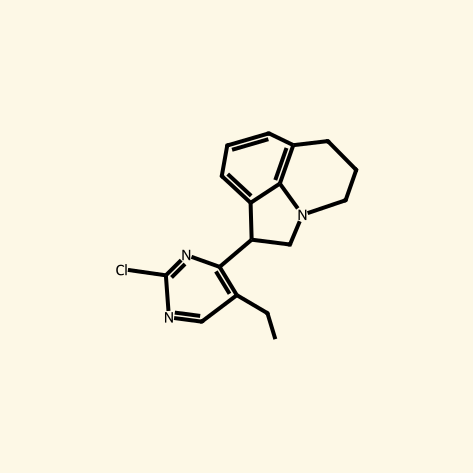 CCc1cnc(Cl)nc1C1CN2CCCc3cccc1c32